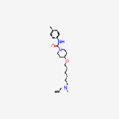 C=CCN(C)CCCCCCOC1CCN(C(=O)Nc2ccc(C)cc2)CC1